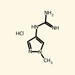 Cl.Cn1cc(NC(=N)N)cn1